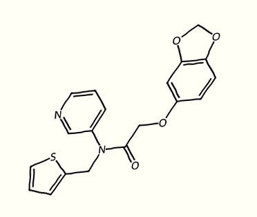 O=C(COc1ccc2c(c1)OCO2)N(Cc1cccs1)c1cccnc1